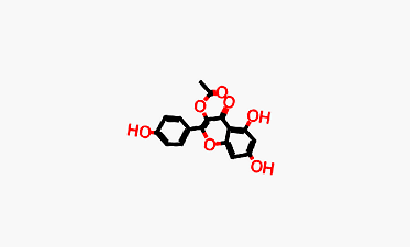 CC(=O)Oc1c(-c2ccc(O)cc2)oc2cc(O)cc(O)c2c1=O